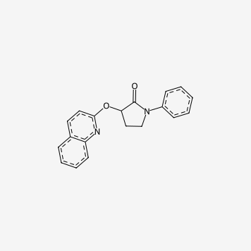 O=C1C(Oc2ccc3ccccc3n2)CCN1c1ccccc1